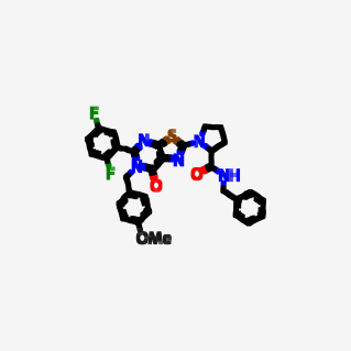 COc1ccc(Cn2c(-c3cc(F)ccc3F)nc3sc(N4CCCC4C(=O)NCc4ccccc4)nc3c2=O)cc1